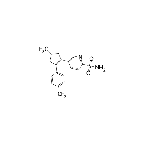 NS(=O)(=O)c1ccc(C2=C(c3ccc(C(F)(F)F)cc3)CC(C(F)(F)F)C2)cn1